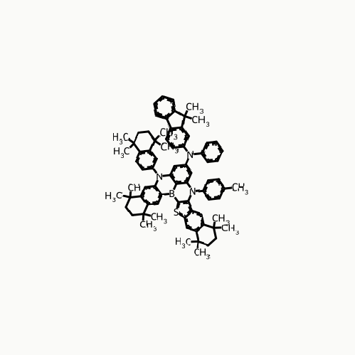 Cc1ccc(N2c3cc(N(c4ccccc4)c4ccc5c(c4)C(C)(C)c4ccccc4-5)cc4c3B(c3cc5c(cc3N4c3ccc4c(c3)C(C)(C)CCC4(C)C)C(C)(C)CCC5(C)C)c3sc4cc5c(cc4c32)C(C)(C)CCC5(C)C)cc1